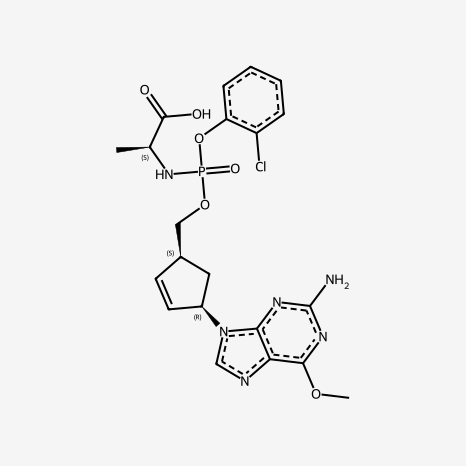 COc1nc(N)nc2c1ncn2[C@H]1C=C[C@@H](COP(=O)(N[C@@H](C)C(=O)O)Oc2ccccc2Cl)C1